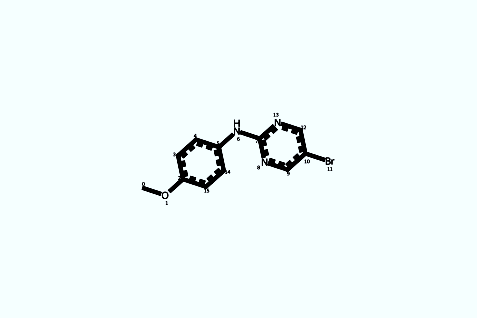 COc1ccc(Nc2ncc(Br)cn2)cc1